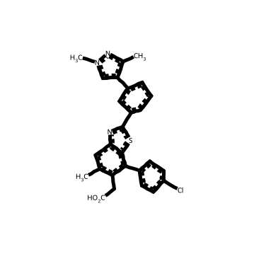 Cc1cc2nc(-c3cccc(-c4cn(C)nc4C)c3)sc2c(-c2ccc(Cl)cc2)c1CC(=O)O